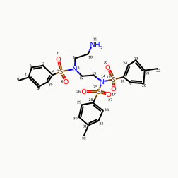 Cc1ccc(S(=O)(=O)N(CCN)CCN(S(=O)(=O)c2ccc(C)cc2)S(=O)(=O)c2ccc(C)cc2)cc1